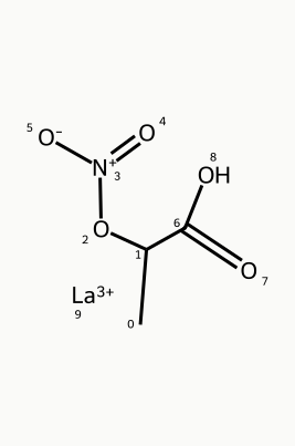 CC(O[N+](=O)[O-])C(=O)O.[La+3]